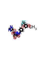 COc1ccc(Oc2ccc(CNC(=O)[C@@]3(NC(=O)Oc4cncnc4)CCOC3)cc2)c(C(F)(F)F)c1